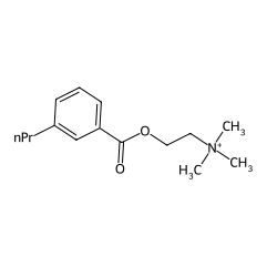 CCCc1cccc(C(=O)OCC[N+](C)(C)C)c1